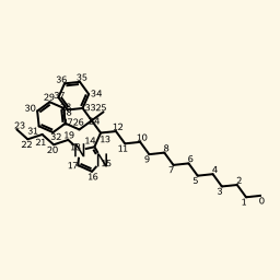 CCCCCCCCCCCCCC(c1nccn1CCCCC)C(C)(Cc1ccccc1)c1ccccc1